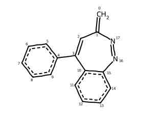 C=C1C=C(c2ccccc2)c2ccccc2N=N1